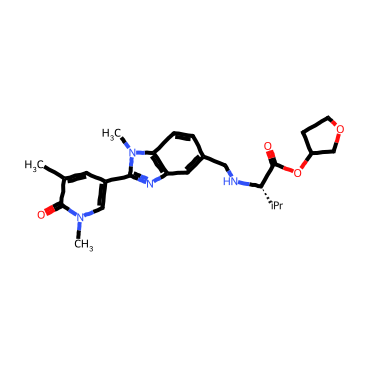 Cc1cc(-c2nc3cc(CN[C@H](C(=O)OC4CCOC4)C(C)C)ccc3n2C)cn(C)c1=O